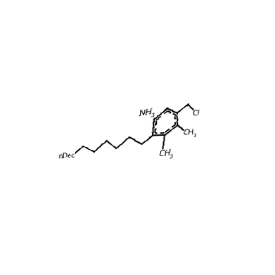 CCCCCCCCCCCCCCCCc1ccc(CCl)c(C)c1C.N